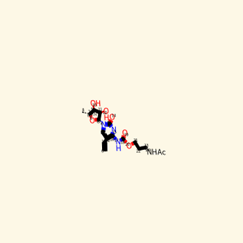 C#Cc1cn([C@@H]2O[C@H](C)[C@@H](O)[C@H]2O)c(=O)nc1NC(=O)OCCCNC(C)=O